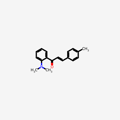 Cc1ccc(/C=C/C(=O)c2ccccc2N(C)C)cc1